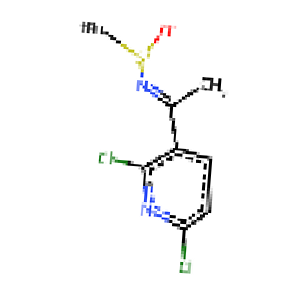 CC(=N[S+]([O-])C(C)(C)C)c1ccc(Cl)nc1Cl